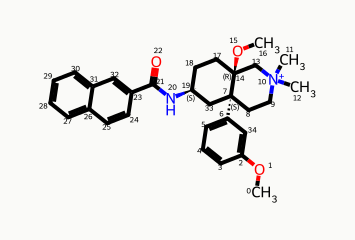 COc1cccc([C@@]23CC[N+](C)(C)C[C@@]2(OC)CC[C@H](NC(=O)c2ccc4ccccc4c2)C3)c1